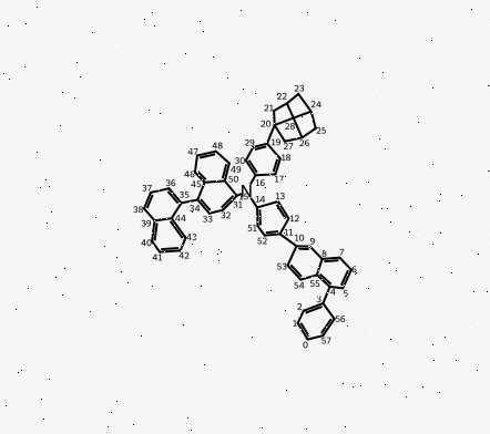 c1ccc(-c2cccc3cc(-c4ccc(N(c5ccc(C67CC8CC9CC(C6)C987)cc5)c5ccc(-c6cccc7ccccc67)c6ccccc56)cc4)ccc23)cc1